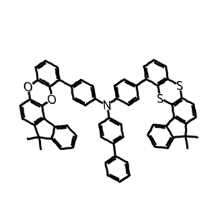 CC1(C)c2ccccc2-c2c1ccc1c2Oc2c(cccc2-c2ccc(N(c3ccc(-c4ccccc4)cc3)c3ccc(-c4cccc5c4Sc4c(ccc6c4-c4ccccc4C6(C)C)S5)cc3)cc2)O1